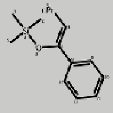 CCCC=C(O[Si](C)(C)C)c1ccccc1